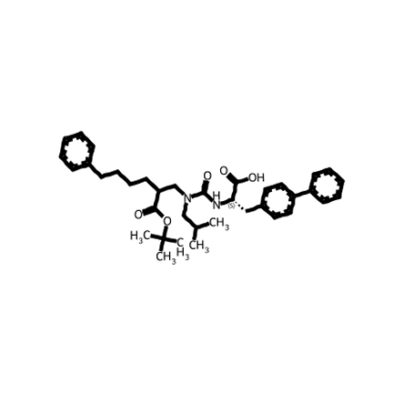 CC(C)CN(CC(CCCCc1ccccc1)C(=O)OC(C)(C)C)C(=O)N[C@@H](Cc1ccc(-c2ccccc2)cc1)C(=O)O